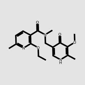 CCOc1nc(C)ccc1C(=O)N(C)Cc1c[nH]c(C)c(OC)c1=O